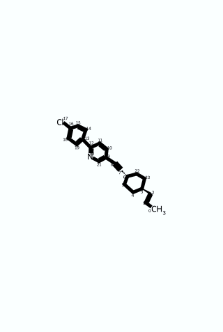 C/C=C/[C@H]1CC[C@H](C#Cc2ccc(-c3ccc(Cl)cc3)nc2)CC1